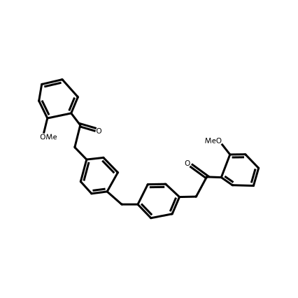 COc1ccccc1C(=O)Cc1ccc(Cc2ccc(CC(=O)c3ccccc3OC)cc2)cc1